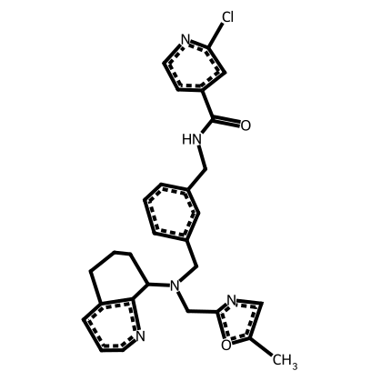 Cc1cnc(CN(Cc2cccc(CNC(=O)c3ccnc(Cl)c3)c2)C2CCCc3cccnc32)o1